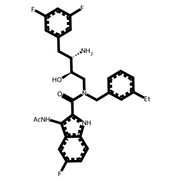 CCc1cccc(CN(C[C@@H](O)[C@@H](N)Cc2cc(F)cc(F)c2)C(=O)c2[nH]c3ccc(F)cc3c2NC(C)=O)c1